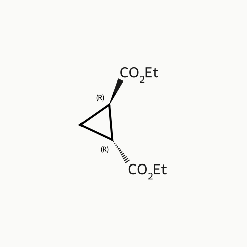 CCOC(=O)[C@@H]1C[C@H]1C(=O)OCC